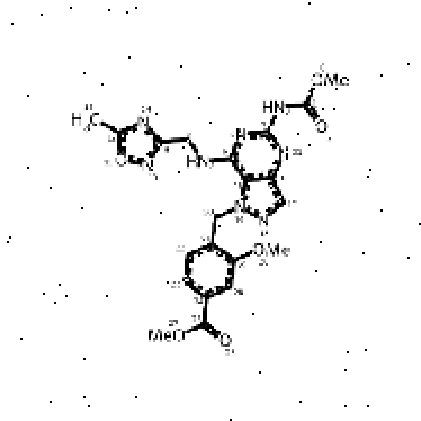 COC(=O)Nc1nc(NCc2noc(C)n2)c2c(cnn2Cc2ccc(C(=O)OC)cc2OC)n1